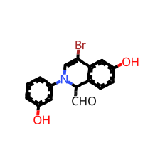 O=CC1c2ccc(O)cc2C(Br)=CN1c1cccc(O)c1